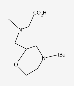 CN(CC(=O)O)CC1CN(C(C)(C)C)CCO1